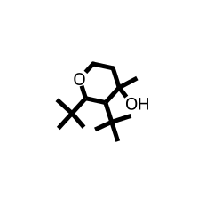 CC(C)(C)C1OCCC(C)(O)C1C(C)(C)C